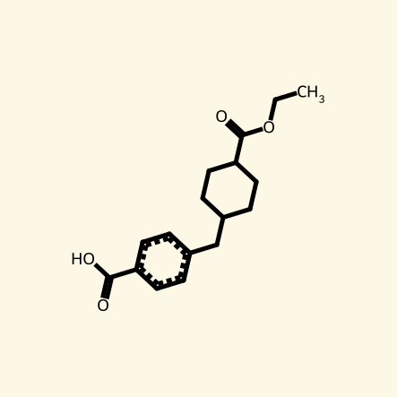 CCOC(=O)C1CCC(Cc2ccc(C(=O)O)cc2)CC1